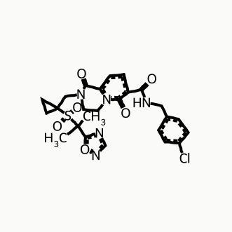 CC(C)(c1ncno1)S(=O)(=O)C1(CN2CCn3c(ccc(C(=O)NCc4ccc(Cl)cc4)c3=O)C2=O)CC1